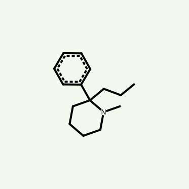 CCCC1(c2ccccc2)CCCCN1C